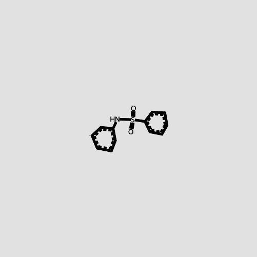 O=S(=O)(Nc1c[c]ccc1)c1ccccc1